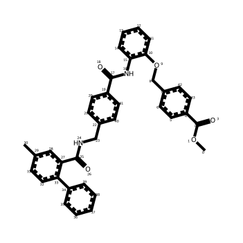 COC(=O)c1ccc(COc2ccccc2NC(=O)c2ccc(CNC(=O)c3cc(C)ccc3-c3ccccc3)cc2)cc1